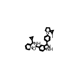 O=C(N[C@@H](c1ccccn1)C1CC1)c1ccc2[nH]nc(-c3ccc(N4CCCC45CC5I)cc3)c2c1